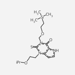 CC(C)OCCn1c(=S)n(COCC[Si](C)(C)C)c(=O)c2[nH]ccc21